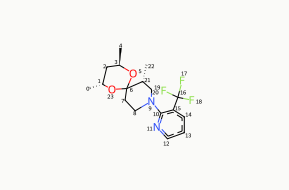 C[C@@H]1C[C@@H](C)OC2(CCN(c3ncccc3C(F)(F)F)C[C@H]2C)O1